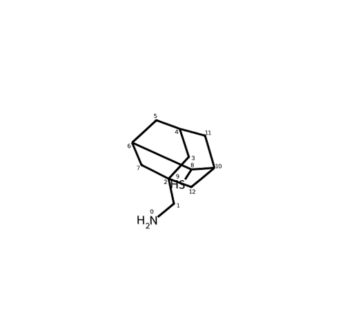 NCC12CC3CC(C1)C(S)C(C3)C2